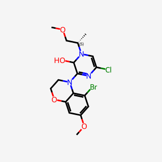 COC[C@H](C)N1C=C(Cl)N=C(N2CCOc3cc(OC)cc(Br)c32)C1O